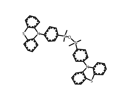 C[Si](C)(O[Si](C)(C)c1ccc(N2c3ccccc3Sc3ccccc32)cc1)c1ccc(N2c3ccccc3Sc3ccccc32)cc1